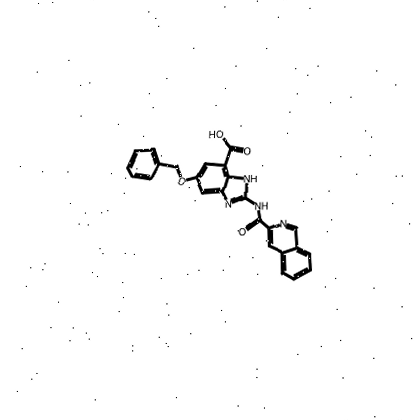 O=C(Nc1nc2cc(OCc3ccccc3)cc(C(=O)O)c2[nH]1)c1cc2ccccc2cn1